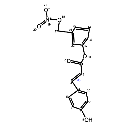 O=C(/C=C/c1ccc(O)cc1)Oc1cccc(CO[N+](=O)[O-])c1